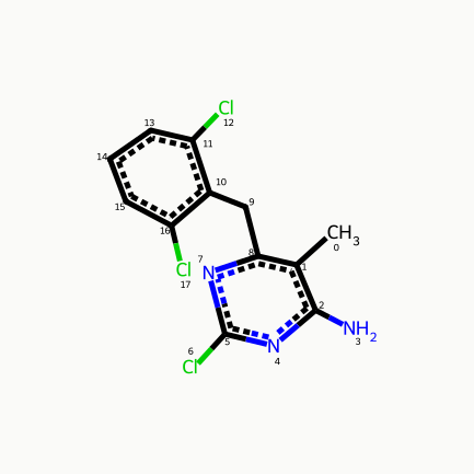 Cc1c(N)nc(Cl)nc1Cc1c(Cl)cccc1Cl